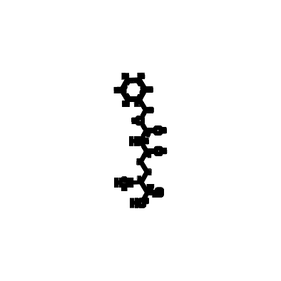 NC(CCC(=O)NC(=O)OCc1ccccc1)C(=O)O